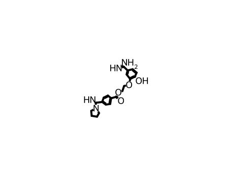 N=C(N)c1ccc(O)c(OCCOC(=O)c2ccc(C(=N)N3CCCC3)cc2)c1